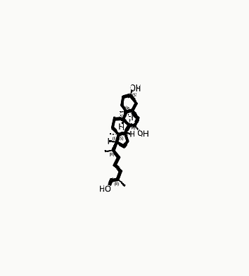 C[C@@H](CO)CCC[C@@H](C)[C@@]1(I)CC[C@H]2[C@@H]3[C@H](O)C=C4C[C@@H](O)CC[C@]4(C)[C@H]3CC[C@@]21C